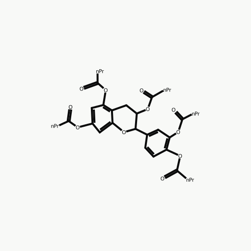 CCCC(=O)Oc1cc(OC(=O)CCC)c2c(c1)OC(c1ccc(OC(=O)CCC)c(OC(=O)CCC)c1)C(OC(=O)CCC)C2